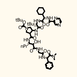 CCC[C@H](NC(=O)C1CN(C(=O)OC(C)(C)C)CC1NC(=O)[C@@H](NC(=O)[C@@H](NC(=O)c1cnccn1)C1CCCCC1)C(C)(C)C)C(O)C(=O)NCC(=O)N[C@H](C(=O)N(C)C)c1ccccc1